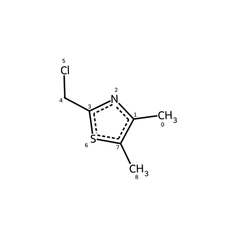 Cc1nc(CCl)sc1C